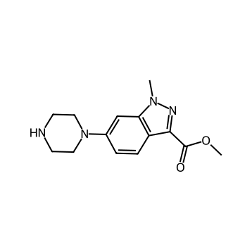 COC(=O)c1nn(C)c2cc(N3CCNCC3)ccc12